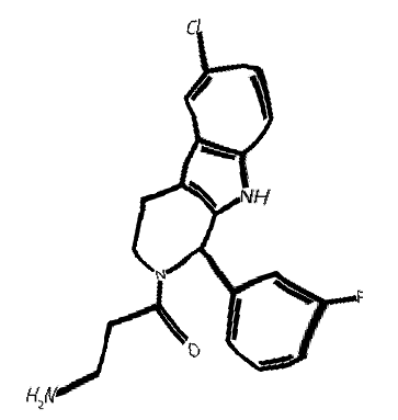 NCCC(=O)N1CCc2c([nH]c3ccc(Cl)cc23)C1c1cccc(F)c1